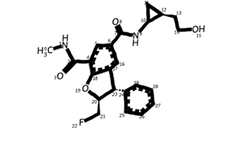 CNC(=O)c1cc(C(=O)NC2C[C@H]2CCO)cc2c1O[C@H](CF)[C@H]2c1ccccc1